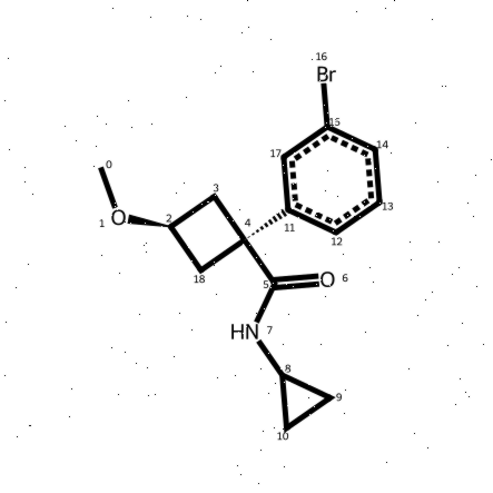 CO[C@H]1C[C@](C(=O)NC2CC2)(c2cccc(Br)c2)C1